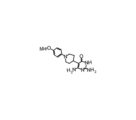 COc1ccc(N2CCC(c3c(N)nc(N)[nH]c3=O)CC2)cc1